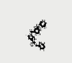 O=C(NCc1ccccn1)C1CCN(Cc2cccc(Oc3cccnc3)c2)C1